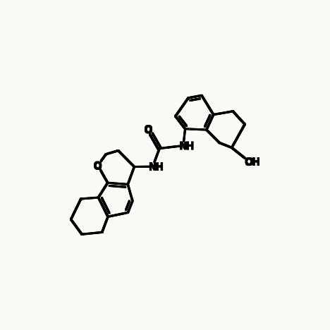 O=C(Nc1cccc2c1CC(O)CC2)NC1CCOc2c1ccc1c2CCCC1